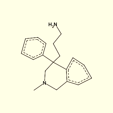 CN1Cc2ccccc2C(CCCN)(c2ccccc2)C1